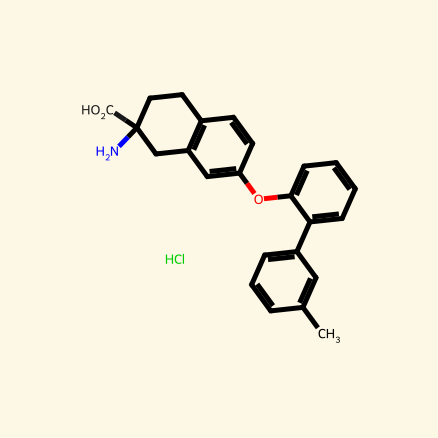 Cc1cccc(-c2ccccc2Oc2ccc3c(c2)CC(N)(C(=O)O)CC3)c1.Cl